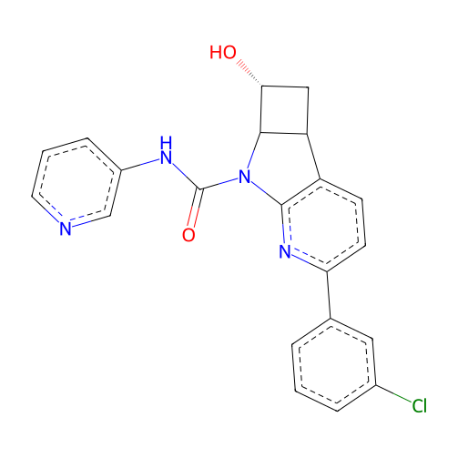 O=C(Nc1cccnc1)N1c2nc(-c3cccc(Cl)c3)ccc2C2C[C@@H](O)C21